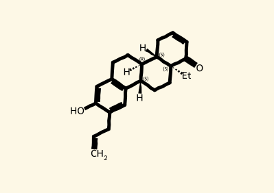 C=CCc1cc2c(cc1O)CC[C@@H]1[C@@H]2CC[C@]2(CC)C(=O)C=CC[C@@H]12